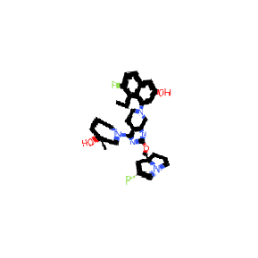 CCc1c(F)ccc2cc(O)cc(N3CCc4c(nc(OC[C@@]56CCCN5C[C@H](F)C6)nc4N4CCC[C@@](C)(O)C4)C3)c12